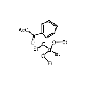 CC(=O)OC(=O)c1ccccc1.CC[O][Zr]([CH2]C)([O]CC)[O]CC